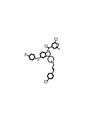 Cc1cc(C(=O)N2CC3(CCN(CC=Cc4ccc(Cl)cc4)CC3)c3cc(Sc4ccc(F)cc4)ccc32)cc(Cl)n1